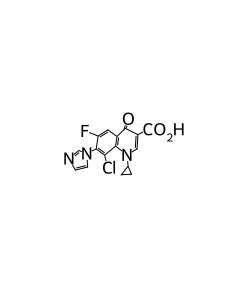 O=C(O)c1cn(C2CC2)c2c(Cl)c(-n3ccnc3)c(F)cc2c1=O